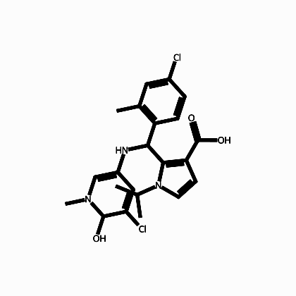 Cc1cc(Cl)ccc1C(NC1=CN(C)C(O)C(Cl)=C1)c1c(C(=O)O)ccn1C(C)C